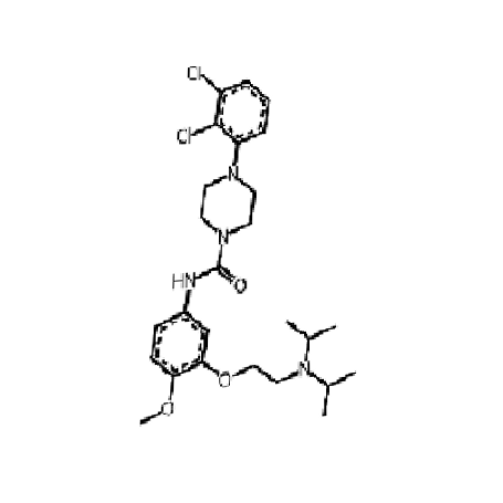 COc1ccc(NC(=O)N2CCN(c3cccc(Cl)c3Cl)CC2)cc1OCCN(C(C)C)C(C)C